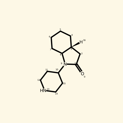 O=C1C[C@H]2CCCCC2N1C1CCNCC1